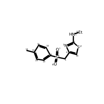 CCNc1nc(CS(=O)(=O)c2ccc(C)cc2)cs1